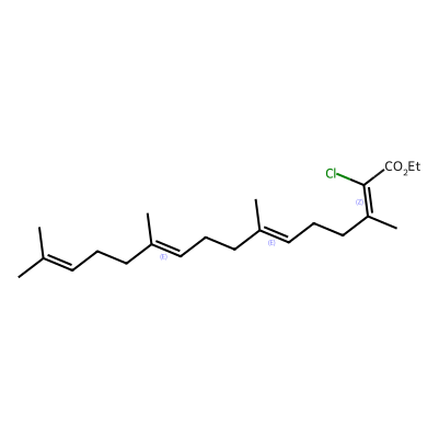 CCOC(=O)/C(Cl)=C(\C)CC/C=C(\C)CC/C=C(\C)CCC=C(C)C